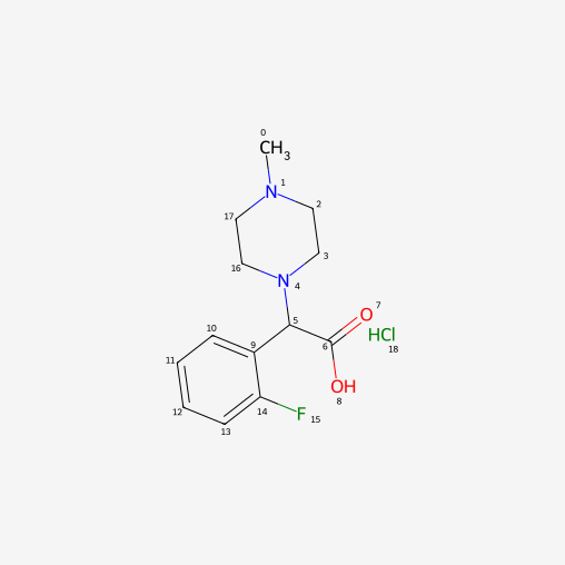 CN1CCN(C(C(=O)O)c2ccccc2F)CC1.Cl